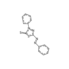 S=c1sc(N=Nc2ccccc2)nn1-c1ccccc1